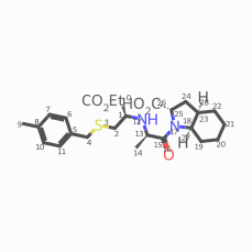 CCOC(=O)[C@H](CSCc1ccc(C)cc1)N[C@H](C)C(=O)N1[C@@H]2CCCC[C@@H]2C[C@H]1C(=O)O